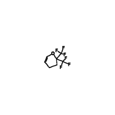 FC(F)(F)C1(C(F)(F)F)CCC=CO1